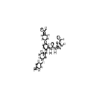 CC(=O)c1sc(NC(=O)N[C@@H]2CN(C3CCN(C(C)=O)CC3)CC[C@H]2CN2CCC[C@@H](Cc3ccc(F)cc3)C2)nc1C